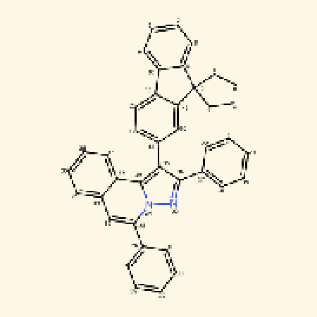 CCC1(CC)c2ccccc2-c2ccc(-c3c(-c4ccccc4)nn4c(-c5ccccc5)cc5ccccc5c34)cc21